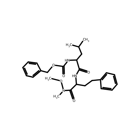 CON(C)C(=O)C(CCc1ccccc1)NC(=O)C(CC(C)C)NC(=O)OCc1ccccc1